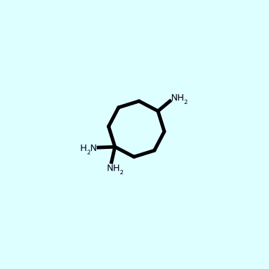 NC1CCCC(N)(N)CCC1